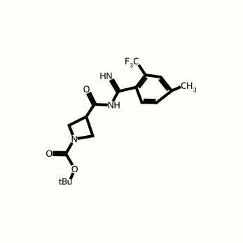 Cc1ccc(C(=N)NC(=O)C2CN(C(=O)OC(C)(C)C)C2)c(C(F)(F)F)c1